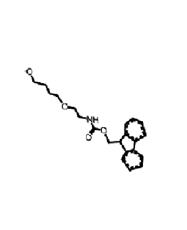 [O]CCCCOCCNC(=O)OCC1c2ccccc2-c2ccccc21